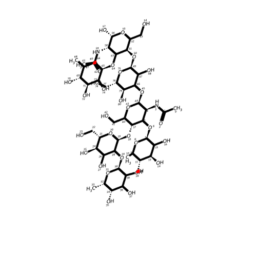 CC(=O)N[C@H]1C(O[C@@H]2OC(C)[C@@H](O)[C@H](O)C2O)[C@H](O[C@@H]2O[C@@H](CO)[C@H](O)C(O)C2O[C@@H]2O[C@@H](C)[C@@H](O)C(O)C2O)C(CO)O[C@H]1OC1C(O)[C@H](O[C@@H]2C(CO)O[C@@H](O)[C@@H](NC(C)=O)C2O[C@@H]2OC(C)[C@@H](O)[C@H](O)C2O)O[C@@H](CO)[C@@H]1O